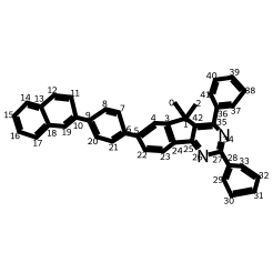 CC1(C)c2cc(-c3ccc(-c4ccc5ccccc5c4)cc3)ccc2-c2nc(-c3ccccc3)nc(-c3ccccc3)c21